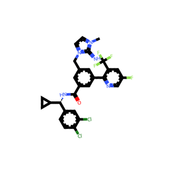 Cn1ccn(Cc2cc(C(=O)N[C@H](c3ccc(Cl)c(Cl)c3)C3CC3)cc(-c3ncc(F)cc3C(F)(F)F)c2)c1=N